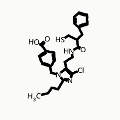 CCCCc1nc(Cl)c(CCNC(=O)C(CS)Cc2ccccc2)n1Cc1ccc(C(=O)O)cc1